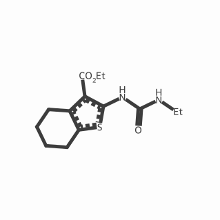 CCNC(=O)Nc1sc2c(c1C(=O)OCC)CCCC2